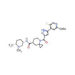 COc1cc(-c2cc(C(=O)N3CC[C@H](C(=O)N[C@H]4CC[C@@H](C(F)(F)F)N(C)C4)CC34CC4)n[nH]2)c(F)cn1